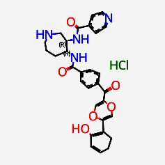 Cl.O=C(N[C@@H]1CCCNC[C@H]1NC(=O)c1ccncc1)c1ccc(C(=O)C2=COC(C3=C(O)C=CCC3)=CO2)cc1